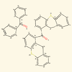 O=C(c1cccc2c1Cc1ccccc1S2)c1cccc2c1Cc1ccccc1S2.O=C(c1ccccc1)c1ccccc1